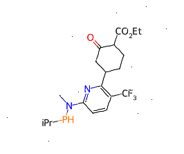 CCOC(=O)C1CCC(c2nc(N(C)PC(C)C)ccc2C(F)(F)F)CC1=O